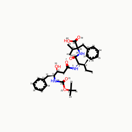 CC[C@H](C)[C@H](NC(=O)C[C@H](O)[C@H](Cc1ccccc1)NC(=O)OC(C)(C)C)C(=O)NC(Cc1ccccc1)(C(=O)O)C(C)C